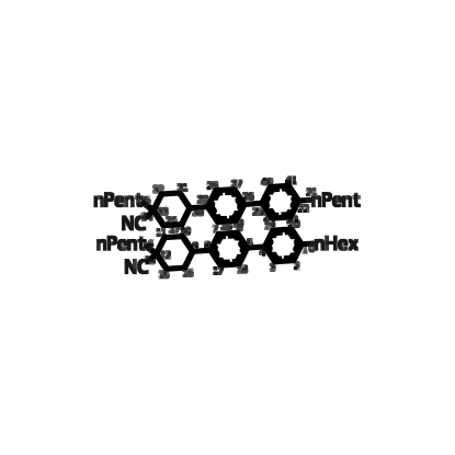 CCCCCCc1ccc(-c2ccc(C3CCC(C#N)(CCCCC)CC3)cc2)cc1.CCCCCc1ccc(-c2ccc(C3CCC(C#N)(CCCCC)CC3)cc2)cc1